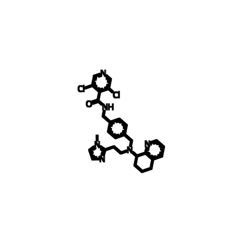 Cn1ccnc1CCN(Cc1ccc(CNC(=O)c2c(Cl)cncc2Cl)cc1)C1CCCc2cccnc21